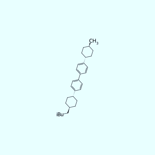 CCC(C)C[C@H]1CC[C@H](c2ccc(-c3ccc([C@H]4CC[C@H](C)CC4)cc3)cc2)CC1